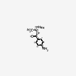 CCCCCC[C@@H](C)OC(=O)c1ccc(N)cc1